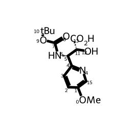 COc1ccc([C@H](NC(=O)OC(C)(C)C)[C@@H](O)C(=O)O)nc1